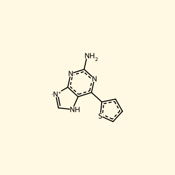 Nc1nc2c(c(-c3cccs3)n1)NC=[N+]2